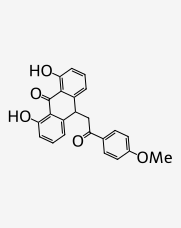 COc1ccc(C(=O)CC2c3cccc(O)c3C(=O)c3c(O)cccc32)cc1